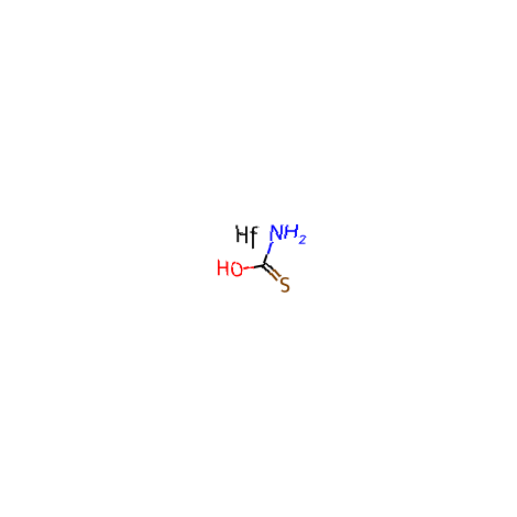 NC(O)=S.[Hf]